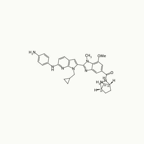 COc1cc(C(=O)N2C[C@H]3CC[C@@H]2[C@@H]3N)cc2nc(-c3cc4ccc(Nc5ccc(N)cc5)nc4n3CC3CC3)n(C)c12